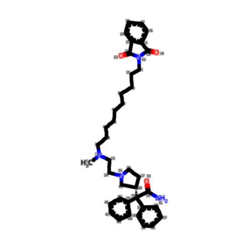 CN(CCCCCCCCCCN1C(=O)c2ccccc2C1=O)CCN1CC[C@H](C(C(N)=O)(c2ccccc2)c2ccccc2)C1